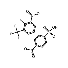 Cc1c([N+](=O)[O-])cccc1C(F)(F)F.O=[N+]([O-])c1ccc(S(=O)(=O)O)cc1